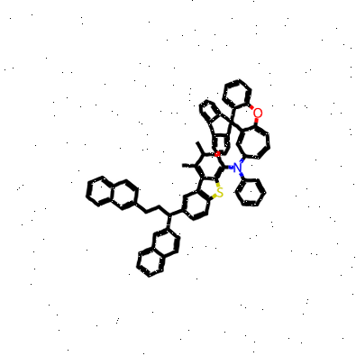 CC1=c2c(sc3ccc(C(CCc4ccc5ccccc5c4)c4ccc5ccccc5c4)cc23)=C(N(c2ccccc2)C2C=CC=C3Oc4ccccc4C4(C3=C2)c2ccccc2-c2ccccc24)CC1C